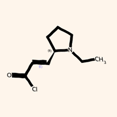 CCN1CCC[C@@H]1/C=C/C(=O)Cl